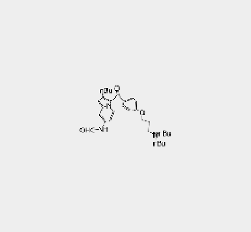 CCCCc1cc2cc(NC=O)ccn2c1C(=O)c1ccc(OCCCN(CCCC)CCCC)cc1